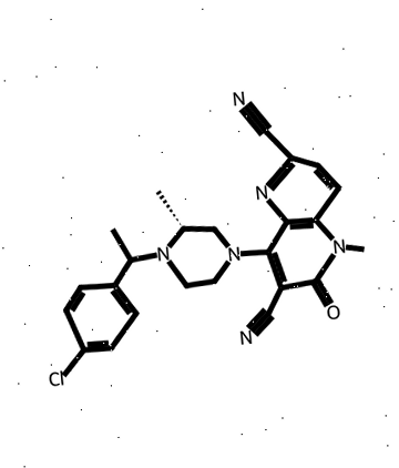 CC(c1ccc(Cl)cc1)N1CCN(c2c(C#N)c(=O)n(C)c3ccc(C#N)nc23)C[C@H]1C